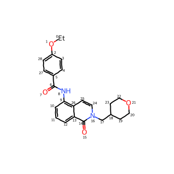 CCOc1ccc(C(=O)Nc2cccc3c(=O)n(CC4CCOCC4)ccc23)cc1